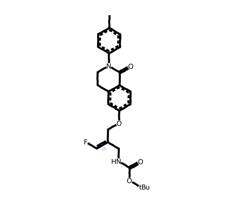 Cc1ccc(N2CCc3cc(OC/C(=C\F)CNC(=O)OC(C)(C)C)ccc3C2=O)cc1